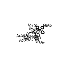 COc1ccc(C(OC[C@H]2O[C@@H](n3ccc(NC(C)=O)nc3=O)C[C@@H]2OP(=O)(OCCCO[C@@H]2O[C@H](COC(C)=O)[C@@H](OC(C)=O)[C@H](OC(C)=O)[C@H]2NC(C)=O)N(C(C)C)C(C)C)(c2ccccc2)c2ccc(OC)cc2)cc1